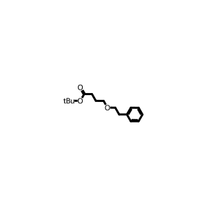 CC(C)(C)OC(=O)CCCOCCc1ccccc1